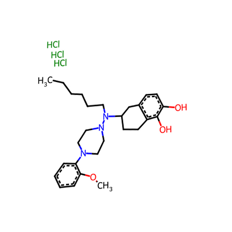 CCCCCCN(C1CCc2c(ccc(O)c2O)C1)N1CCN(c2ccccc2OC)CC1.Cl.Cl.Cl